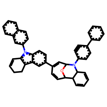 c1c(-c2ccccc2)ccc(N2C3C=C(c4ccc5c(c4)c4c(n5-c5ccc6ccccc6c5)C=CCC4)C=CC(O3)C3C=CC=CC32)c#1